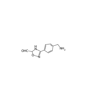 NCc1ccc(C2=NOC(C=O)N2)cc1